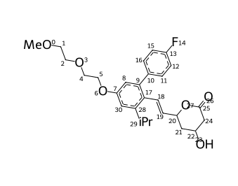 COCCOCCOc1cc(-c2ccc(F)cc2)c(C=CC2CC(O)CC(=O)O2)c(C(C)C)c1